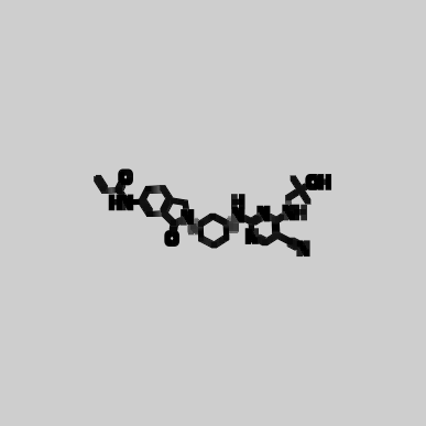 C=CC(=O)Nc1ccc2c(c1)C(=O)N([C@H]1CCC[C@@H](Nc3ncc(C#N)c(NCC(C)(C)O)n3)C1)C2